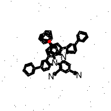 N#Cc1cc(C#N)c(-n2c3ccc(-c4ccccc4)cc3c3cc(-c4ccccc4)ccc32)c(-n2c3ccc(-c4ccccc4)cc3c3cc(-c4ccccc4)ccc32)c1